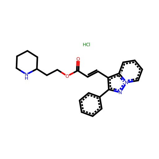 Cl.O=C(/C=C/c1c(-c2ccccc2)nn2ccccc12)OCCC1CCCCN1